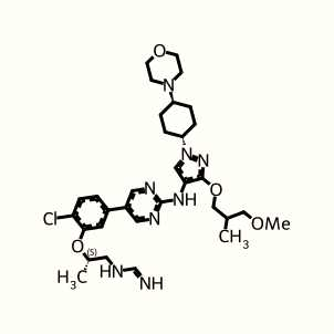 COCC(C)COc1nn([C@H]2CC[C@H](N3CCOCC3)CC2)cc1Nc1ncc(-c2ccc(Cl)c(O[C@@H](C)CNC=N)c2)cn1